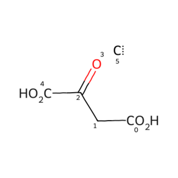 O=C(O)CC(=O)C(=O)O.[C]